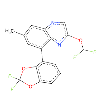 Cc1cc(-c2cccc3c2OC(F)(F)O3)c2nc(OC(F)F)cnc2c1